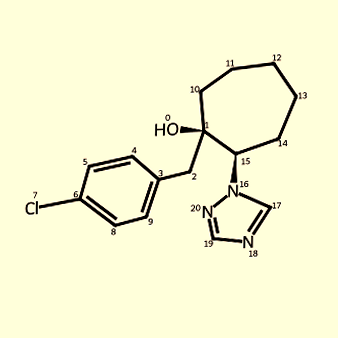 O[C@@]1(Cc2ccc(Cl)cc2)CCCCC[C@H]1n1cncn1